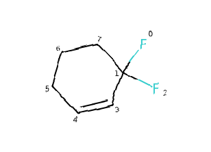 FC1(F)C=CCCC1